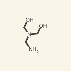 NCN(CO)CO